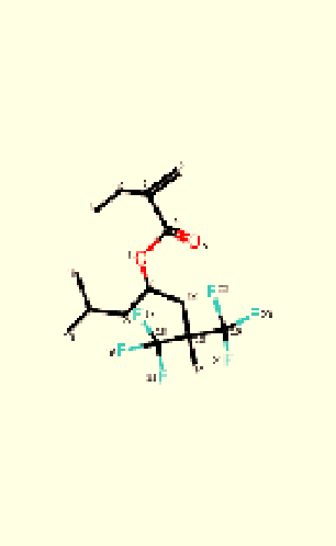 C=C(CC)C(=O)OC(CC(C)C)CC(C)(C(F)(F)F)C(F)(F)F